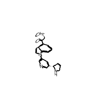 O=CCC(=O)c1cccc2c1ccn2-c1cncc([C@@H]2CCCN2)c1